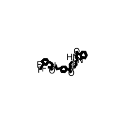 CC(=O)N(CCc1ccc(C(=O)N2CCN(c3nc4ccccc4c(=O)[nH]3)CC2)cc1)Cc1cccc(C(F)(F)F)c1